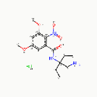 CCC(CC)(CN)NC(=O)c1cc(OC)cc(OC)c1[N+](=O)[O-].Cl